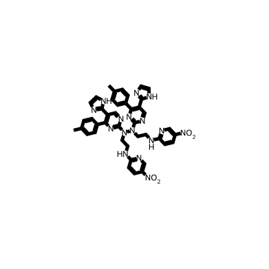 Cc1ccc(-c2nc(N(CCNc3ccc([N+](=O)[O-])cn3)N(CCNc3ccc([N+](=O)[O-])cn3)c3ncc(-c4ncc[nH]4)c(-c4ccc(C)cc4)n3)ncc2-c2ncc[nH]2)cc1